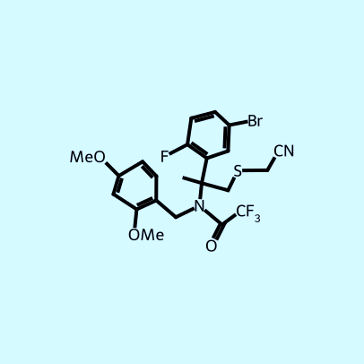 COc1ccc(CN(C(=O)C(F)(F)F)C(C)(CSCC#N)c2cc(Br)ccc2F)c(OC)c1